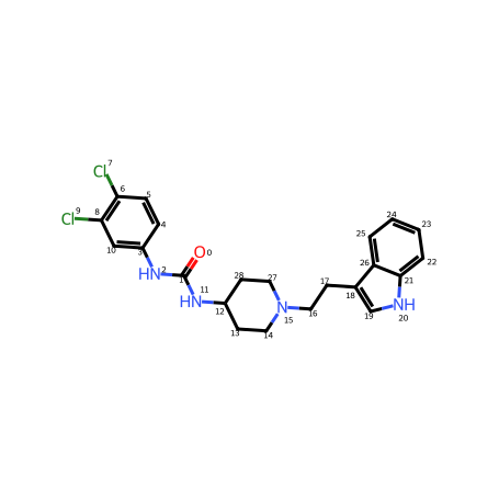 O=C(Nc1ccc(Cl)c(Cl)c1)NC1CCN(CCc2c[nH]c3ccccc23)CC1